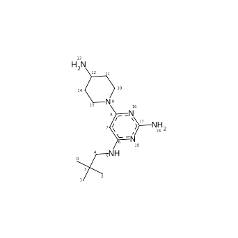 CC(C)(C)CNc1cc(N2CCC(N)CC2)nc(N)n1